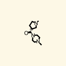 CN1CCN(C(=O)[C@@H]2CCN(C)C2)CC1